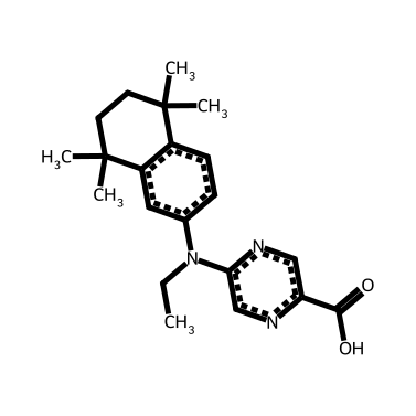 CCN(c1ccc2c(c1)C(C)(C)CCC2(C)C)c1cnc(C(=O)O)cn1